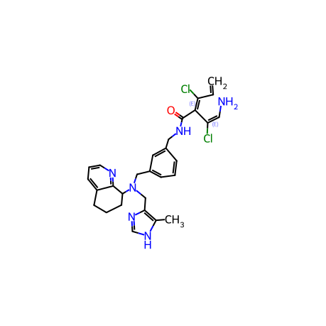 C=C/C(Cl)=C(C(=O)NCc1cccc(CN(Cc2nc[nH]c2C)C2CCCc3cccnc32)c1)\C(Cl)=C/N